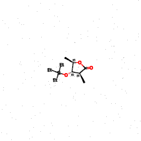 CC[Si](CC)(CC)O[C@H]1[C@H](C)C(=O)O[C@@H]1C